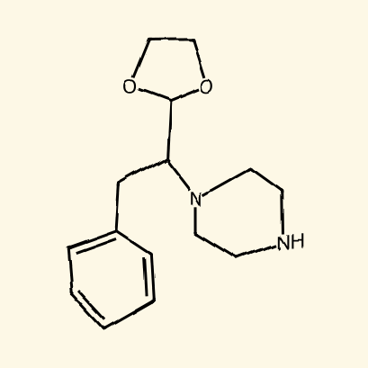 c1ccc(CC(C2OCCO2)N2CCNCC2)cc1